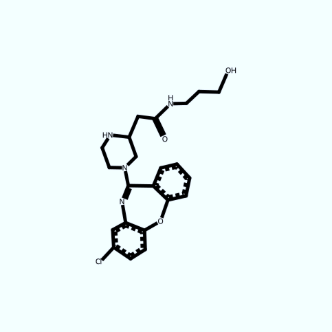 O=C(CC1CN(C2=Nc3cc(Cl)ccc3Oc3ccccc32)CCN1)NCCCO